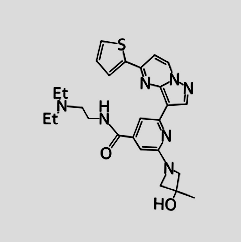 CCN(CC)CCNC(=O)c1cc(-c2cnn3ccc(-c4cccs4)nc23)nc(N2CC(C)(O)C2)c1